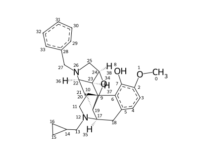 COc1ccc2c(c1O)[C@]13CCN(CC4CC4)[C@H](C2)[C@]12CC[C@@H]1[C@H]3[C@@H](CN1Cc1ccccc1)O2